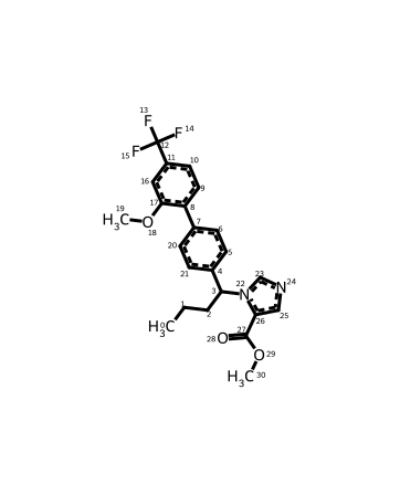 CCCC(c1ccc(-c2ccc(C(F)(F)F)cc2OC)cc1)n1cncc1C(=O)OC